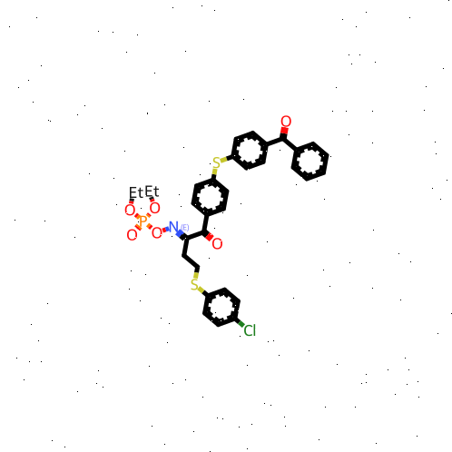 CCOP(=O)(OCC)O/N=C(\CCSc1ccc(Cl)cc1)C(=O)c1ccc(Sc2ccc(C(=O)c3ccccc3)cc2)cc1